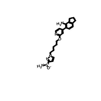 Nc1c(-c2ccnc(OCCCCCn3ccc([S+](N)[O-])n3)c2)ccc2c1CCC2